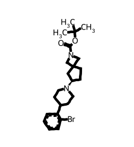 CC(C)(C)OC(=O)N1CC2(CC[C@@H](N3CCC(c4ccccc4Br)CC3)C2)C1